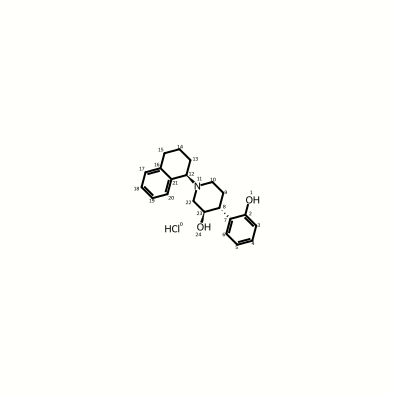 Cl.Oc1ccccc1[C@H]1CCN([C@@H]2CCCc3ccccc32)C[C@@H]1O